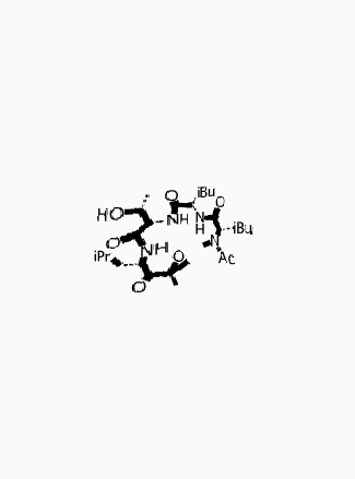 CCC(C)[C@@H](C(=O)N[C@H](C(=O)N[C@H](C(=O)N[C@@H](CC(C)C)C(=O)[C@@]1(C)CO1)[C@@H](C)O)[C@@H](C)CC)N(C)C(C)=O